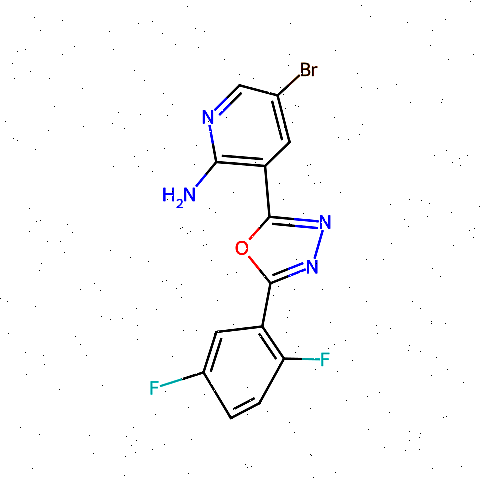 Nc1ncc(Br)cc1-c1nnc(-c2cc(F)ccc2F)o1